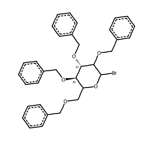 BrC1OC(COCc2ccccc2)[C@@H](OCc2ccccc2)[C@H](OCc2ccccc2)C1OCc1ccccc1